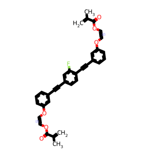 C=C(C)C(=O)O/C=C\Oc1cccc(C#Cc2ccc(C#Cc3cccc(O/C=C\OC(=O)C(=C)C)c3)c(F)c2)c1